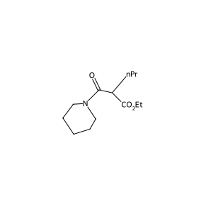 CCCC(C(=O)OCC)C(=O)N1CCCCC1